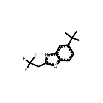 CC(C)(C)c1ccc2oc(CC(F)(F)F)nc2c1